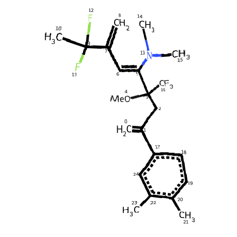 C=C(CC(OC)(/C(=C/C(=C)C(C)(F)F)N(C)C)C(F)(F)F)c1ccc(C)c(C)c1